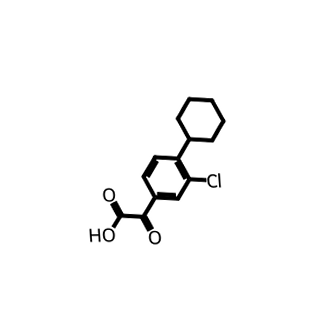 O=C(O)C(=O)c1ccc(C2CCCCC2)c(Cl)c1